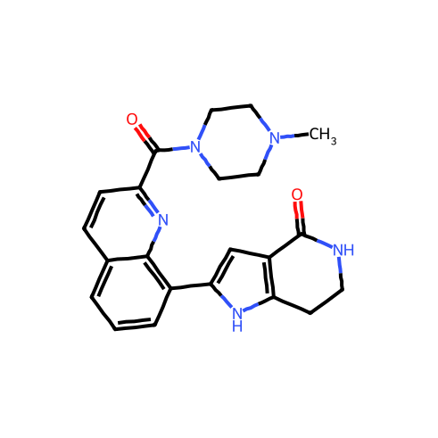 CN1CCN(C(=O)c2ccc3cccc(-c4cc5c([nH]4)CCNC5=O)c3n2)CC1